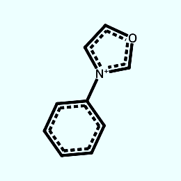 c1ccc(-[n+]2ccoc2)cc1